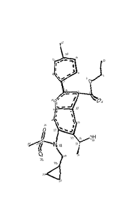 CCOC(=O)c1c(-c2ccc(C)cc2)oc2cc(N(CC3CC3)S(C)(=O)=O)c([C@H](C)O)cc12